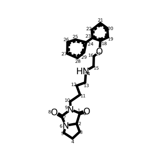 O=C1C2CCCN2C(=O)N1CCCCNCCOc1ccccc1-c1ccccc1